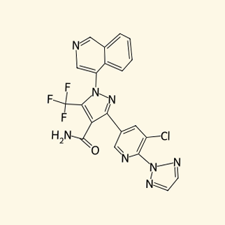 NC(=O)c1c(-c2cnc(-n3nccn3)c(Cl)c2)nn(-c2cncc3ccccc23)c1C(F)(F)F